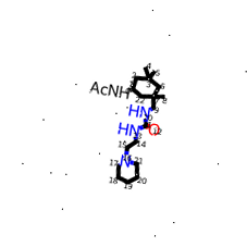 CC(=O)NC1CC(C)(C)CC(C)(CNC(=O)NCCN2CCCCC2)C1